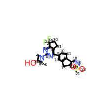 C[C@H]1[C@H](O)CN1c1nc(-c2ccc3c(c2)CCC3/C=N\S(C)(=O)=O)c2c(n1)C(F)(F)CC2